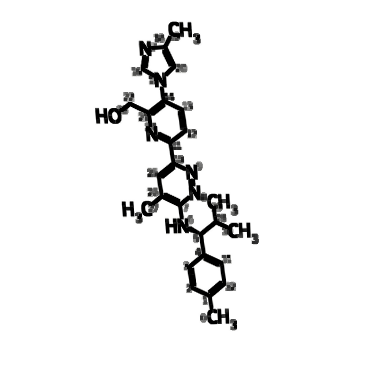 Cc1ccc([C@@H](Nc2nnc(-c3ccc(-n4cnc(C)c4)c(CO)n3)cc2C)C(C)C)cc1